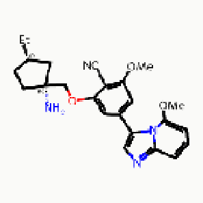 CC[C@@H]1CC[C@](N)(COc2cc(-c3cnc4cccc(OC)n34)cc(OC)c2C#N)C1